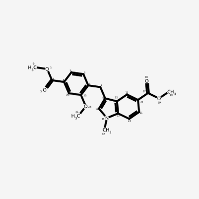 COC(=O)c1ccc(Cc2cn(C)c3ccc(C(=O)OC)cc23)c(OC)c1